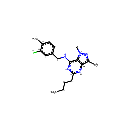 CCCc1nn(C)c2c(NCc3ccc(OC)c(Cl)c3)nc(CCCC(=O)O)nc12